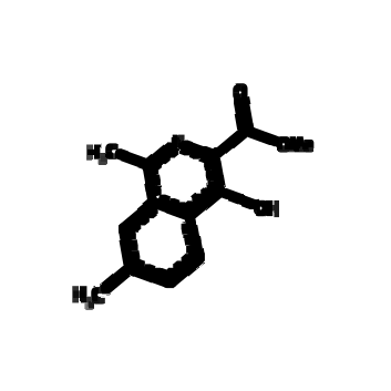 COC(=O)c1nc(C)c2cc(C)ccc2c1O